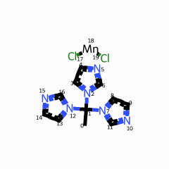 CC(n1ccnc1)(n1ccnc1)n1ccnc1.[Cl][Mn][Cl]